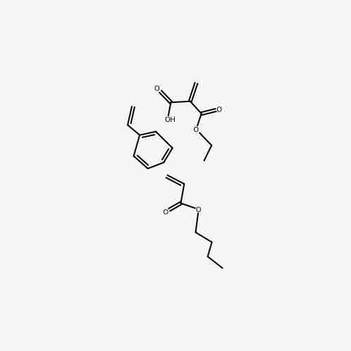 C=C(C(=O)O)C(=O)OCC.C=CC(=O)OCCCC.C=Cc1ccccc1